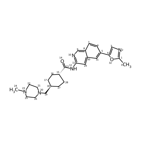 Cc1ncc(-c2ccc3cnc(NC(=O)[C@H]4CC[C@H](CN5CCN(C)CC5)CC4)cc3c2)o1